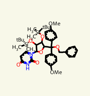 COc1ccc(C(OCc2ccccc2)(c2ccc(OC)cc2)C2OC(n3ccc(=O)[nH]c3=O)C(O[Si](C)(C)C(C)(C)C)C2O[Si](C)(C)C(C)(C)C)cc1